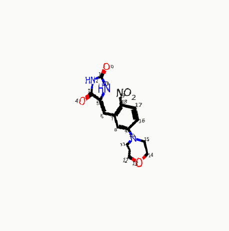 O=C1NC(=O)C(=Cc2cc(N3CCOCC3)ccc2[N+](=O)[O-])N1